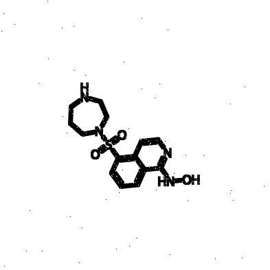 O=S(=O)(c1cccc2c(NO)nccc12)N1CCCNCC1